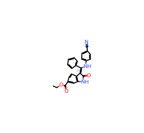 CCOC(=O)c1ccc2c(c1)NC(=O)/C2=C(\Nc1ccc(C#N)cc1)c1ccccc1